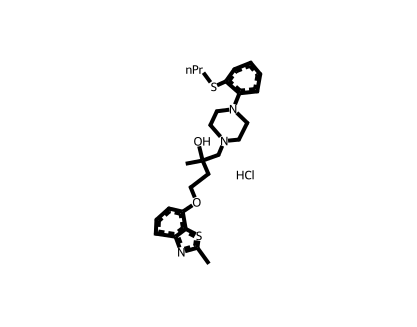 CCCSc1ccccc1N1CCN(CC(C)(O)CCOc2cccc3nc(C)sc23)CC1.Cl